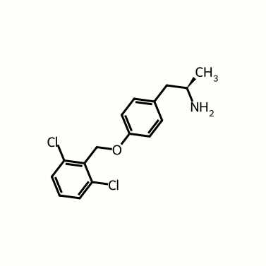 C[C@@H](N)Cc1ccc(OCc2c(Cl)cccc2Cl)cc1